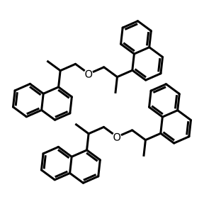 CC(COCC(C)c1cccc2ccccc12)c1cccc2ccccc12.CC(COCC(C)c1cccc2ccccc12)c1cccc2ccccc12